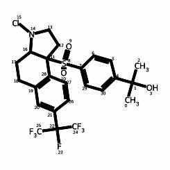 CC(C)(O)c1ccc(S(=O)(=O)C23CCN(Cl)C2CCc2cc(C(F)(C(F)(F)F)C(F)(F)F)ccc23)cc1